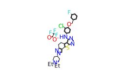 CC[N+]1(CC)CCC(n2cc3c(n2)CCc2c-3sc3ncnc(Nc4ccc(OCc5cccc(F)c5)c(Cl)c4)c23)CC1.O=C([O-])C(F)(F)F